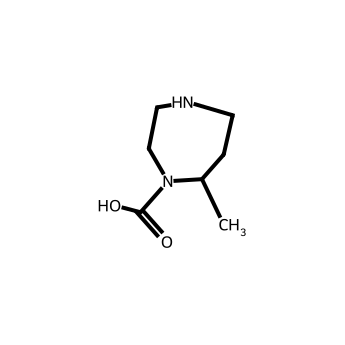 CC1CCNCCN1C(=O)O